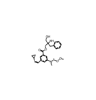 COOSN(C)c1cc(/C=C\C2CC2)cc(C(=O)OCC(N)(CO)Cc2ccccc2)c1